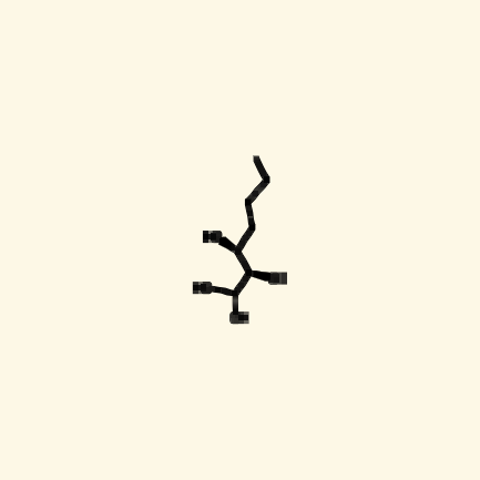 CCCC[C@H](O)[C@@H](O)C(O)O